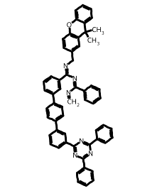 C=N/C(=N\C(=N/Cc1ccc2c(c1)C(C)(C)c1ccccc1O2)c1cccc(-c2ccc(-c3cccc(-c4nc(-c5ccccc5)nc(-c5ccccc5)n4)c3)cc2)c1)c1ccccc1